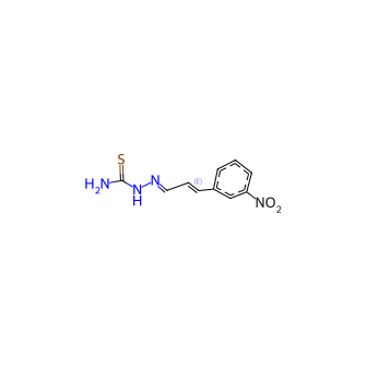 NC(=S)NN=C/C=C/c1cccc([N+](=O)[O-])c1